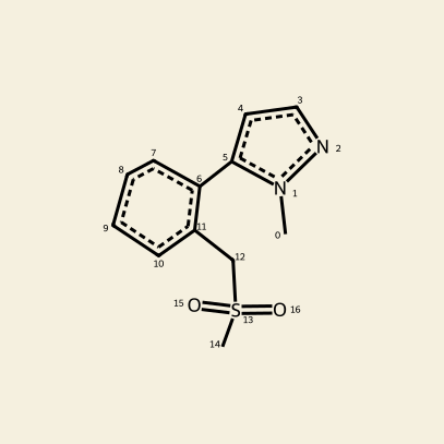 Cn1nccc1-c1ccccc1CS(C)(=O)=O